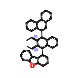 C/C=c1/c(-c2cc3ccccc3c3ccccc23)c2ccccc2c(-c2cccc3oc4ccccc4c23)/c1=C/C